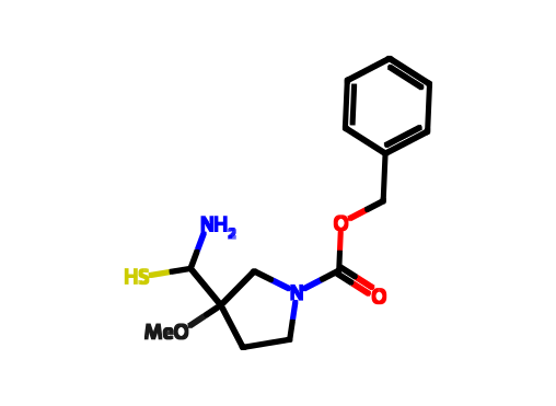 COC1(C(N)S)CCN(C(=O)OCc2ccccc2)C1